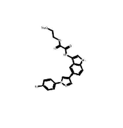 CCc1ccc(-n2cc(-c3ccc4[nH]cc(NC(=O)C(=O)NCCOC)c4c3)cn2)cc1